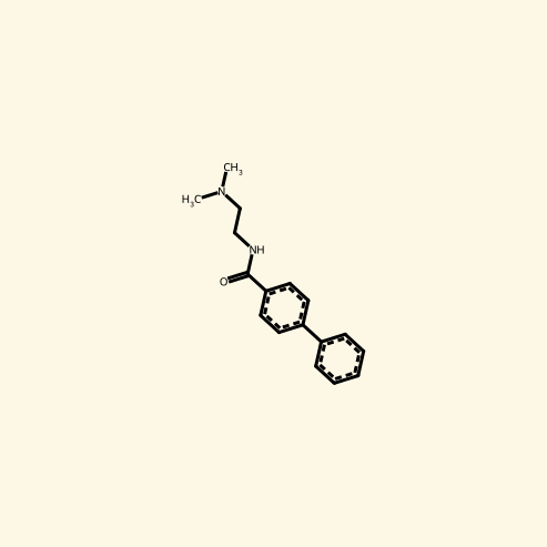 CN(C)CCNC(=O)c1ccc(-c2ccccc2)cc1